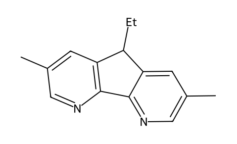 CCC1c2cc(C)cnc2-c2ncc(C)cc21